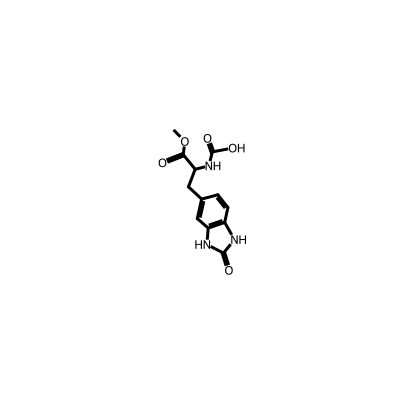 COC(=O)C(Cc1ccc2[nH]c(=O)[nH]c2c1)NC(=O)O